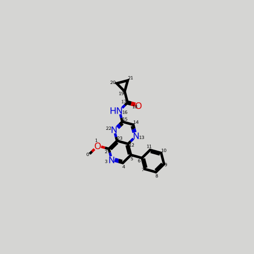 COc1ncc(-c2ccccc2)c2ncc(NC(=O)C3CC3)nc12